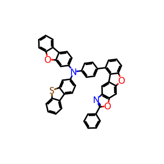 c1ccc(-c2nc3cc4c(cc3o2)oc2cccc(-c3ccc(N(c5ccc6c(c5)oc5ccccc56)c5ccc6c(c5)sc5ccccc56)cc3)c24)cc1